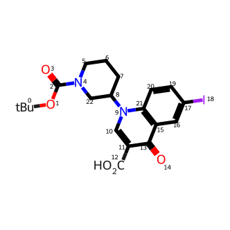 CC(C)(C)OC(=O)N1CCCC(n2cc(C(=O)O)c(=O)c3cc(I)ccc32)C1